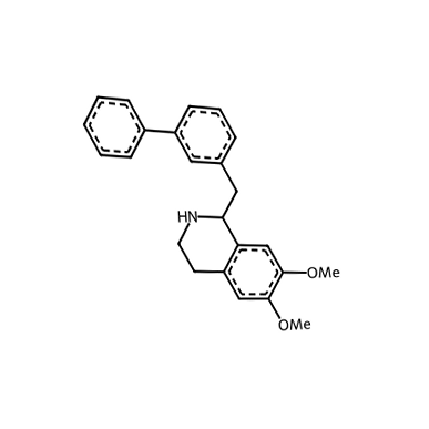 COc1cc2c(cc1OC)C(Cc1cccc(-c3ccccc3)c1)NCC2